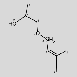 CC(C)=C[SiH2]OCC(C)O